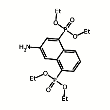 CCOP(=O)(OCC)c1cc(N)cc2c(P(=O)(OCC)OCC)cccc12